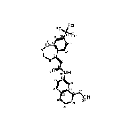 O=C(C=C1CCCOc2cc(C(F)(F)F)ccc21)Nc1ccc2c(c1)C(CO)CCC2